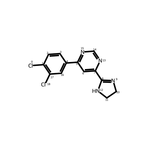 Clc1ccc(-c2cc(C3=NCCN3)ncn2)cc1Cl